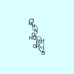 C[C@]12C=CC(=O)C=C1CC[C@@H]1[C@@H]2C(=O)C[C@@]2(C)[C@H]1CC[C@]2(O)C(=O)CN1CCN(c2ccccn2)CC1